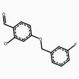 O=Cc1ccc(OCc2cccc(F)c2)cc1Cl